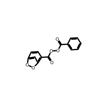 O=C(OOC(=O)c1ccc2cc1OO2)c1ccccc1